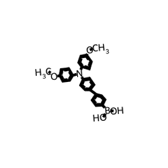 COc1ccc(N(c2ccc(OC)cc2)c2ccc(-c3ccc(B(O)O)cc3)cc2)cc1